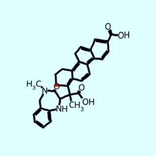 CN1Cc2ccccc2NC(C(C)(C(=O)O)C2=c3ccc4c(c3CCC2)CC=c2cc(C(=O)O)ccc2=4)C1=O